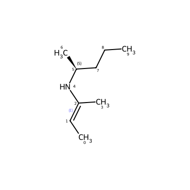 C/C=C(\C)N[C@@H](C)CCC